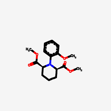 COC(=O)[C@H]1CCC[C@@H](C(=O)OC)N1c1ccccc1OC